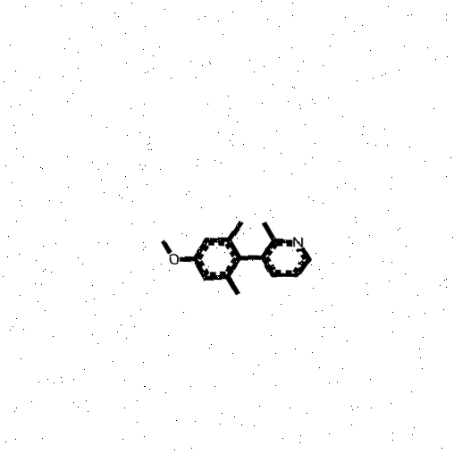 COc1cc(C)c(-c2cccnc2C)c(C)c1